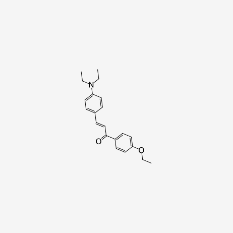 CCOc1ccc(C(=O)C=Cc2ccc(N(CC)CC)cc2)cc1